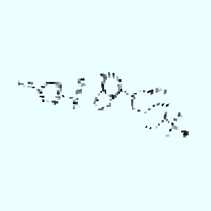 CCN(CC1CCC(C(F)(F)F)CC1)c1ncnc2c1ccn2S(=O)(=O)c1ccc(C)cc1